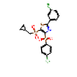 O=S(=O)(CC1CC1)c1sc(-c2cccc(F)c2)nc1S(=O)(=O)c1ccc(Cl)cc1